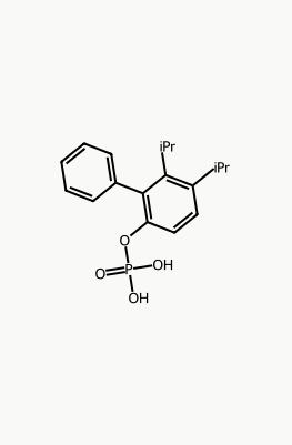 CC(C)c1ccc(OP(=O)(O)O)c(-c2ccccc2)c1C(C)C